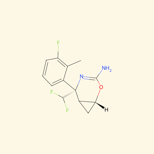 Cc1c(F)cccc1[C@@]1(C(F)F)N=C(N)O[C@@H]2CC21